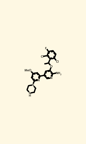 COc1cc(-c2cnc(N)c(OC(C)c3c(Cl)ccc(F)c3Cl)c2)nc(N2CCNCC2)c1